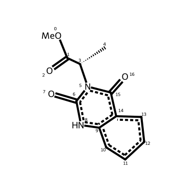 COC(=O)[C@H](C)n1c(=O)[nH]c2ccccc2c1=O